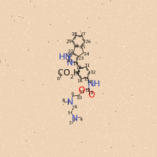 CC(=O)O.CN(C)CCN(C)CCOC(=O)Nc1ccc(-c2n[nH]c3c2Cc2ccccc2-3)cc1